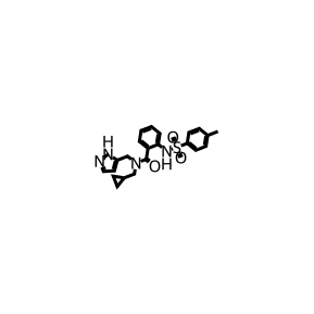 Cc1ccc(S(=O)(=O)Nc2ccccc2C(=O)N(Cc2ccn[nH]2)CC2CC2)cc1